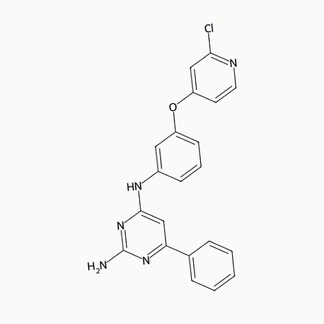 Nc1nc(Nc2cccc(Oc3ccnc(Cl)c3)c2)cc(-c2ccccc2)n1